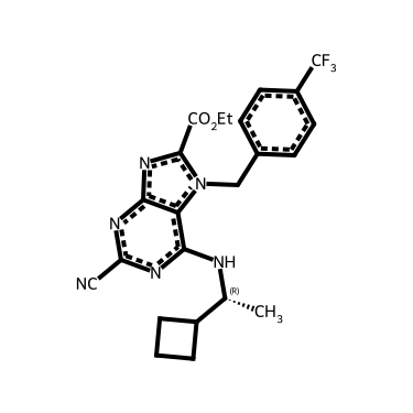 CCOC(=O)c1nc2nc(C#N)nc(N[C@H](C)C3CCC3)c2n1Cc1ccc(C(F)(F)F)cc1